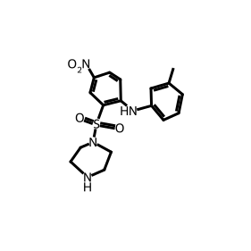 Cc1cccc(Nc2ccc([N+](=O)[O-])cc2S(=O)(=O)N2CCNCC2)c1